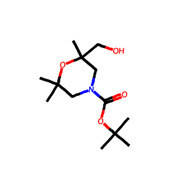 CC(C)(C)OC(=O)N1CC(C)(C)OC(C)(CO)C1